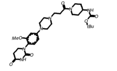 COc1cc(N2CCN(CCC(=O)N3CCC(NC(=O)OC(C)(C)C)CC3)CC2)ccc1N1CCC(=O)NC1=O